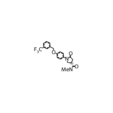 CNC(=O)[C@H]1CC(=O)N(c2ccc(OCc3cccc(C(F)(F)F)c3)cc2)C1